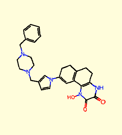 O=c1[nH]c2c(n(O)c1=O)C1=C(CCC(n3ccc(CN4CCN(Cc5ccccc5)CC4)c3)=C1)CC2